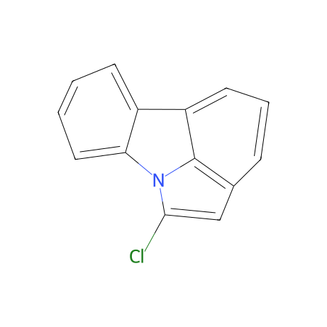 Clc1cc2cccc3c4ccccc4n1c23